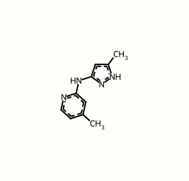 Cc1ccnc(Nc2cc(C)[nH]n2)c1